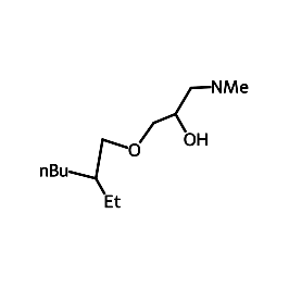 CCCCC(CC)COCC(O)CNC